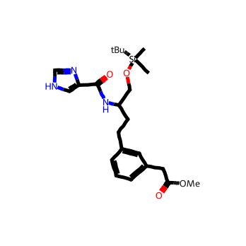 COC(=O)Cc1cccc(CCC(CO[Si](C)(C)C(C)(C)C)NC(=O)c2c[nH]cn2)c1